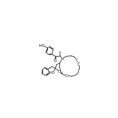 CC(C(=O)c1ccc(O)cc1)N1CCCCCCCCCCC2CCC1CC(O)(Cc1ccccc1)C2